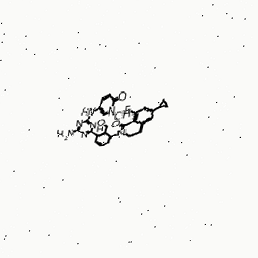 Cn1cc(Nc2nc(N)nc(-c3cccc(N4CCc5cc(C6CC6)cc(F)c5C4=O)c3CO)n2)ccc1=O